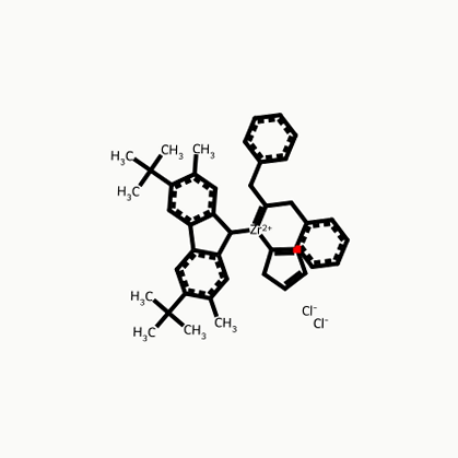 Cc1cc2c(cc1C(C)(C)C)-c1cc(C(C)(C)C)c(C)cc1[CH]2[Zr+2]([C]1=CC=CC1)=[C](Cc1ccccc1)Cc1ccccc1.[Cl-].[Cl-]